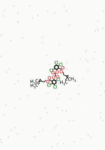 CCC1(C)CC1CCOC(=O)c1c(Cl)c(Cl)cc(Cl)c1OC(=O)C(=O)Oc1c(Cl)cc(Cl)c(Cl)c1C(=O)OCCC1CC1(C)CC